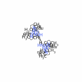 CCCCN(c1nc(NCCCCCCNc2nc(N(CCCC)N3C(C)(C)CCCC3(C)C)nc(N(CCCC)N3C(C)(C)CCCC3(C)C)n2)nc(N(CCCC)N2C(C)(C)CCCC2(C)C)n1)N1C(C)(C)CCCC1(C)C